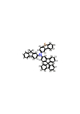 CC1(C)c2ccccc2-c2ccc(N(c3ccc4c(c3)-c3ccccc3C4(c3ccccc3)c3ccccc3)c3ccc4sc5ccccc5c4c3)cc21